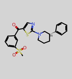 CS(=O)(=O)c1cccc(C(=O)c2cnc(N3CCC[C@@H](c4ccccc4)C3)s2)c1